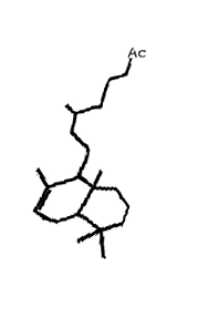 CC(=O)CCCC(C)CCC1C(C)=CCC2C(C)(C)CCCC12C